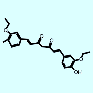 CCOc1cc(/C=C/C(=O)CC(=O)/C=C/c2ccc(O)c(OCC)c2)ccc1C